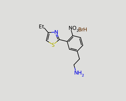 Br.CCc1csc(-c2cc(CCN)ccc2[N+](=O)[O-])n1